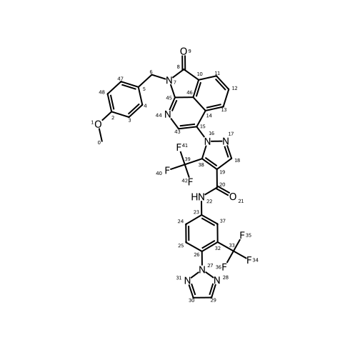 COc1ccc(CN2C(=O)c3cccc4c(-n5ncc(C(=O)Nc6ccc(-n7nccn7)c(C(F)(F)F)c6)c5C(F)(F)F)cnc2c34)cc1